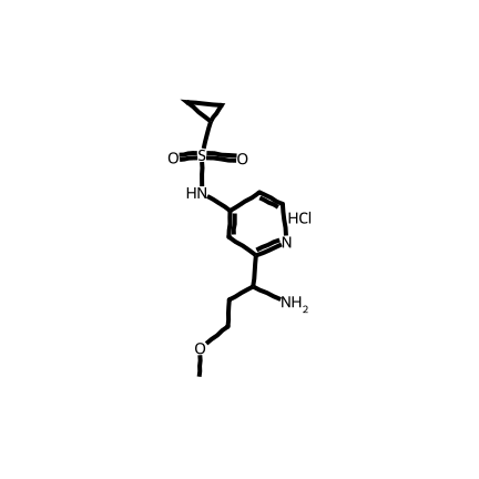 COCCC(N)c1cc(NS(=O)(=O)C2CC2)ccn1.Cl